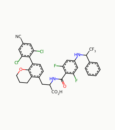 N#Cc1cc(Cl)c(-c2ccc(CC(NC(=O)c3c(F)cc(NC(c4ccccc4)C(F)(F)F)cc3F)C(=O)O)c3c2OCCC3)c(Cl)c1